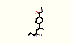 C=C/C=C(Br)\C=C(/C)C1CCC(C(=O)CC)CC1